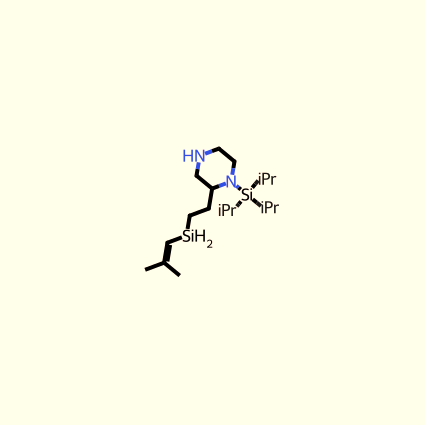 CC(C)=C[SiH2]CCC1CNCCN1[Si](C(C)C)(C(C)C)C(C)C